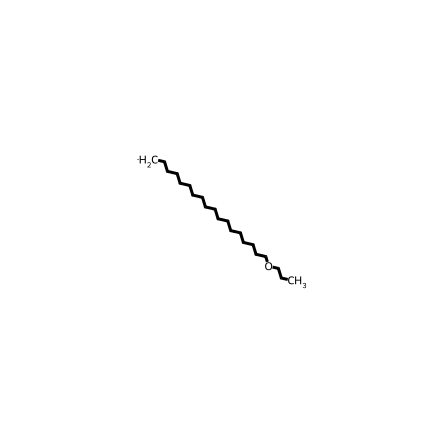 [CH2]CCCCCCCCCCCCCCCCCOCCC